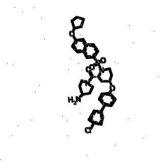 NC1CCN(C(=O)[C@H]2C[C@H](Oc3ccc(-c4ccc(Cl)cc4)cc3)CCN2S(=O)(=O)c2ccc3cc(OC4CCCC4)ccc3c2)CC1